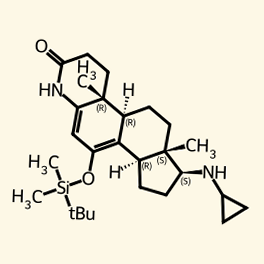 CC(C)(C)[Si](C)(C)OC1=C2[C@@H]3CC[C@H](NC4CC4)[C@@]3(C)CC[C@@H]2[C@@]2(C)CCC(=O)NC2=C1